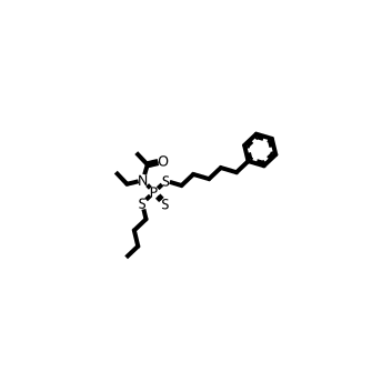 CCCCSP(=S)(SCCCCCc1ccccc1)N(CC)C(C)=O